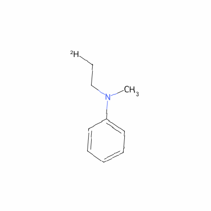 [2H]CCN(C)c1ccccc1